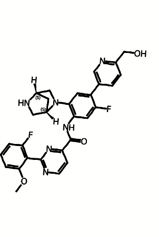 COc1cccc(F)c1-c1nccc(C(=O)Nc2cc(F)c(-c3ccc(CO)nc3)cc2N2C[C@@H]3C[C@H]2CN3)n1